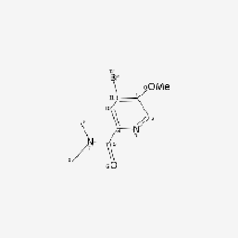 COc1cnc(C(=O)N(C)C)cc1Br